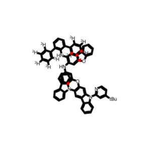 [2H]c1c([2H])c([2H])c(-c2cccc(-c3c([2H])c([2H])c([2H])c([2H])c3[2H])c2Nc2cc3c(cc2Nc2cccc(Oc4cc5c(cc4-n4c6ccccc6c6ccccc64)c4ccccc4n5-c4cc(C(C)(C)C)ccn4)c2)oc2ccccc23)c([2H])c1[2H]